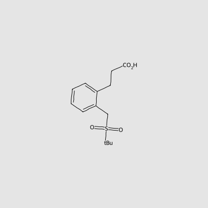 CC(C)(C)S(=O)(=O)Cc1ccccc1CCC(=O)O